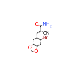 N#C/C(=C\c1cc2c(cc1Br)OCO2)C(N)=O